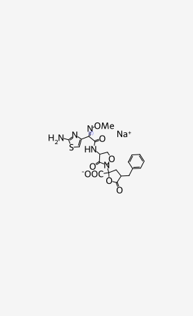 CO/N=C(\C(=O)NC1CON(C2(C(=O)[O-])CC(Cc3ccccc3)C(=O)O2)C1=O)c1csc(N)n1.[Na+]